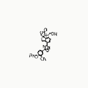 CC(C)Oc1ccc(-c2nc(-c3cccc4c3CC[C@]43COC(=O)N3CCO)no2)cc1C#N